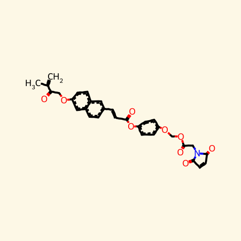 C=C(C)C(=O)COc1ccc2cc(/C=C/C(=O)Oc3ccc(OCOC(=O)CN4C(=O)C=CC4=O)cc3)ccc2c1